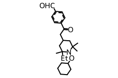 CCC1(C)CC(CC(=O)c2ccc(C=O)cc2)CC(C)(C)N1OC1CCCCC1